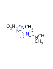 CN(C)C1CCN(C(=O)c2nc([N+](=O)[O-])cn2C)C1